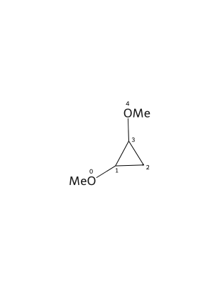 COC1CC1OC